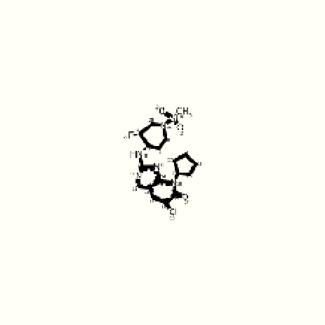 CS(=O)(=O)N1CC[C@H](Nc2ncc3cc(Cl)c(=O)n(C4CCCC4)c3n2)[C@H](F)C1